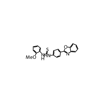 COc1ccccc1NC(=S)Nc1ccc(-c2nc3ccccc3o2)cc1